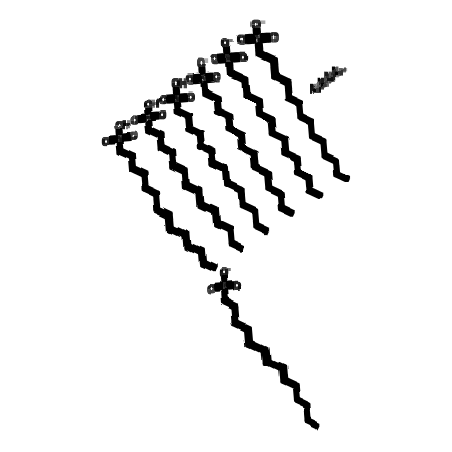 CCCCCCCCCCCCCCS(=O)(=O)O.CCCCCCCCCCCCCCS(=O)(=O)O.CCCCCCCCCCCCCCS(=O)(=O)O.CCCCCCCCCCCCCCS(=O)(=O)[O-].CCCCCCCCCCCCCCS(=O)(=O)[O-].CCCCCCCCCCCCCCS(=O)(=O)[O-].CCCCCCCCCCCCCCS(=O)(=O)[O-].[Na+].[Na+].[Na+].[Na+]